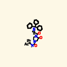 CC(=O)[C@H](C(C)C)N(C)C(=O)N1CCN(C(=O)[C@H]2CN2C(c2ccccc2)(c2ccccc2)c2ccccc2)C(=O)C1